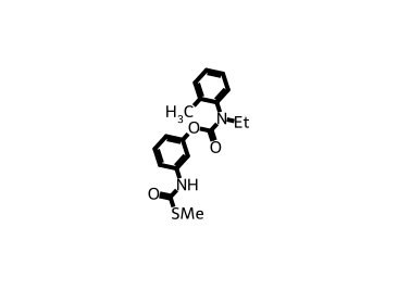 CCN(C(=O)Oc1cccc(NC(=O)SC)c1)c1ccccc1C